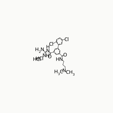 CN(C)CCCNC(=O)c1cc(C(=O)NC(=N)N)cc(-c2cc(Cl)ccc2Cl)c1.Cl.Cl